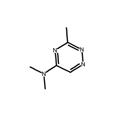 Cc1nncc(N(C)C)n1